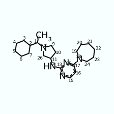 CC(C1CCCCC1)N1CCC(Nc2nccc(N3CCCCCC3)n2)C1